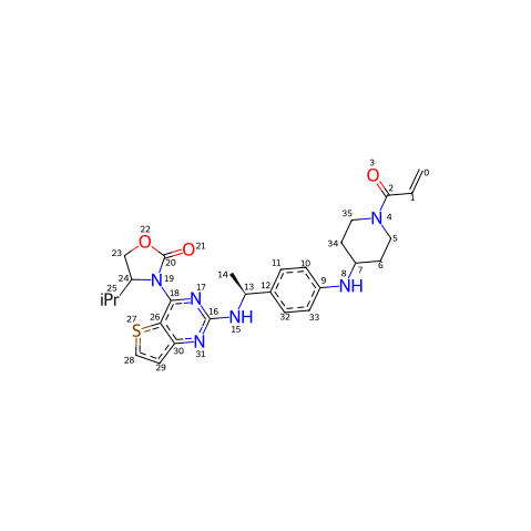 C=CC(=O)N1CCC(Nc2ccc([C@H](C)Nc3nc(N4C(=O)OCC4C(C)C)c4sccc4n3)cc2)CC1